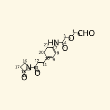 O=CCOCC(=O)NC1=CC=C(CCC(=O)N2CCC2=O)CC1